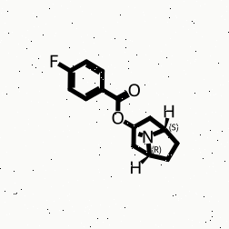 CN1[C@@H]2CC[C@H]1CC(OC(=O)c1ccc(F)cc1)C2